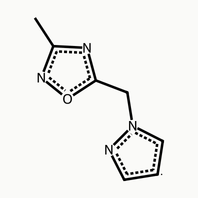 Cc1noc(Cn2c[c]cn2)n1